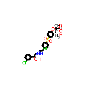 CC(C)(Oc1ccc(S(=O)(=O)c2ccc(CCNC[C@H](O)c3cccc(Cl)c3)cc2)cc1)C(=O)O.Cl